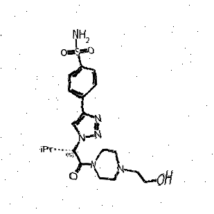 CC(C)[C@@H](C(=O)N1CCN(CCO)CC1)n1cc(-c2ccc(S(N)(=O)=O)cc2)nn1